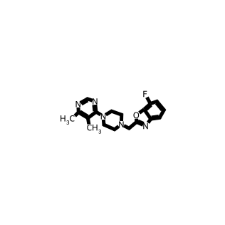 Cc1ncnc(N2CCN(Cc3nc4cccc(F)c4o3)CC2)c1C